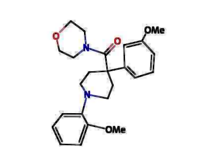 COc1cccc(C2(C(=O)N3CCOCC3)CCN(c3ccccc3OC)CC2)c1